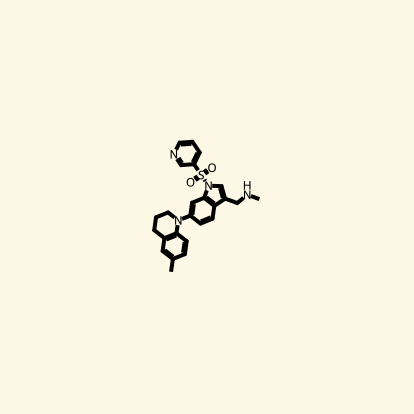 CNCc1cn(S(=O)(=O)c2cccnc2)c2cc(N3CCCc4cc(C)ccc43)ccc12